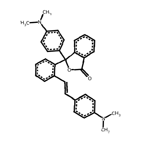 CN(C)c1ccc(C=Cc2ccccc2C2(c3ccc(N(C)C)cc3)OC(=O)c3ccccc32)cc1